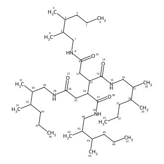 CCCC(C)C(C)CNC(=O)CC(C(=O)NCC(C)C(C)CCC)C(CC(=O)NCC(C)C(C)CCC)C(=O)NCC(C)C(C)CCC